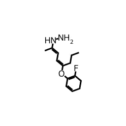 CCC/C(=C\C=C(/C)NN)OC1=C(F)CCC=C1